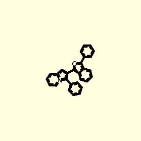 c1ccc(-c2oc(-c3cc4ccccn4c3-c3ccccc3)c3ccccc23)cc1